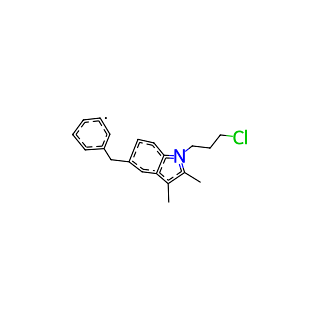 Cc1c(C)n(CCCCl)c2ccc(Cc3c[c]ccc3)cc12